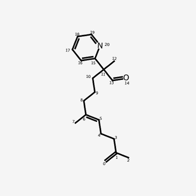 C=C(C)CCC=C(C)CCCC(C)(C=O)c1ccccn1